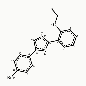 CCOc1ccccc1-c1nc(-c2ccc(Br)cc2)c[nH]1